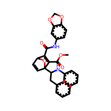 COC(=O)C1=C(C(=O)Nc2ccc3c(c2)OCO3)C2C=CC1(C(Cc1ccccc1)Nc1ccccc1)O2